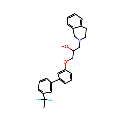 CC(F)(F)c1cccc(-c2cccc(OCC(O)CN3CCc4ccccc4C3)c2)c1